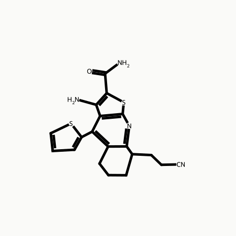 N#CCCC1CCCc2c1nc1sc(C(N)=O)c(N)c1c2-c1cccs1